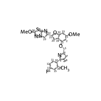 COc1cc(OCc2csc(-c3ccc(F)cc3C)n2)c2cc(-c3cn4nc(OC)sc4n3)oc2c1